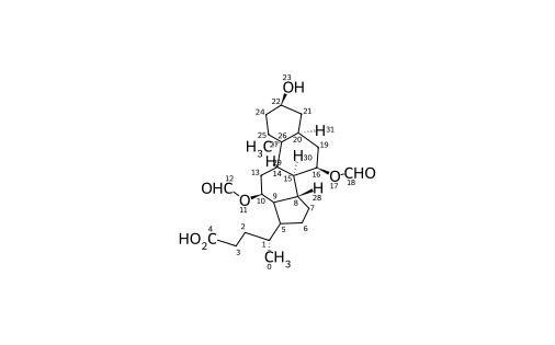 C[C@H](CCC(=O)O)C1CC[C@@H]2C1[C@@H](OC=O)C[C@H]1[C@H]2[C@H](OC=O)C[C@@H]2C[C@H](O)CC[C@@]21C